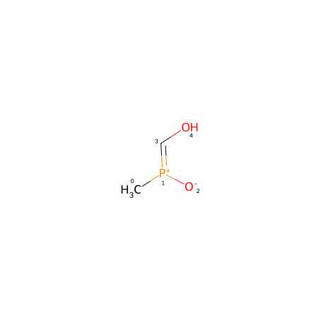 C/[P+]([O-])=C/O